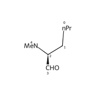 CCCC[C@@H](C=O)NC